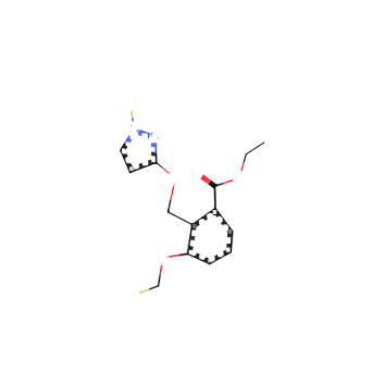 CCOC(=O)c1cccc(OCF)c1COc1ccn(S)n1